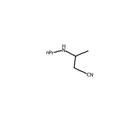 CCCNC(C)CC#N